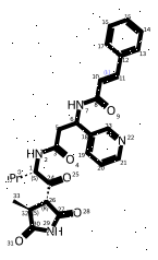 CC(C)[C@H](NC(=O)CC(NC(=O)/C=C/c1ccccc1)c1cccnc1)C(=O)[C@@H]1C(=O)NC(=O)[C@H]1C